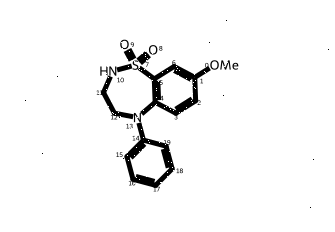 COc1ccc2c(c1)S(=O)(=O)NCCN2c1ccccc1